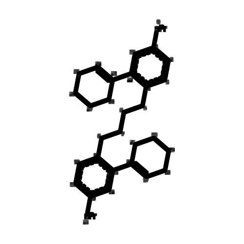 CCCc1ccc(CCCCc2ccc(CCC)cc2C2=CCCCC2)c(C2=CCCCC2)c1